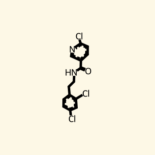 O=C(NCCc1ccc(Cl)cc1Cl)c1ccc(Cl)nc1